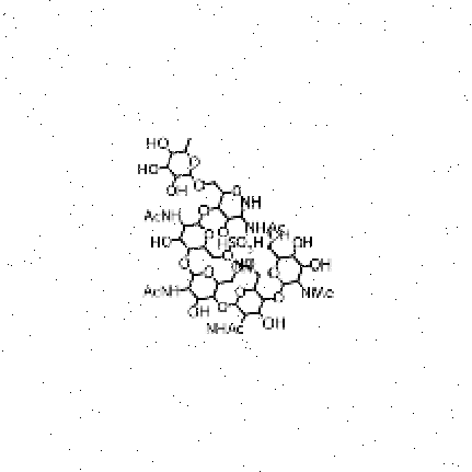 CNC1C(OC2C(CO)OC(OC3C(CO)OC(OC4C(COS(=O)(=O)O)OC(OC5C(COC6OC(C)C(O)C(O)C6O)ONC(NC(C)=O)C5O)C(NC(C)=O)C4O)C(NC(C)=O)C3O)C(NC(C)=O)C2O)OC(CO)C(O)C1O